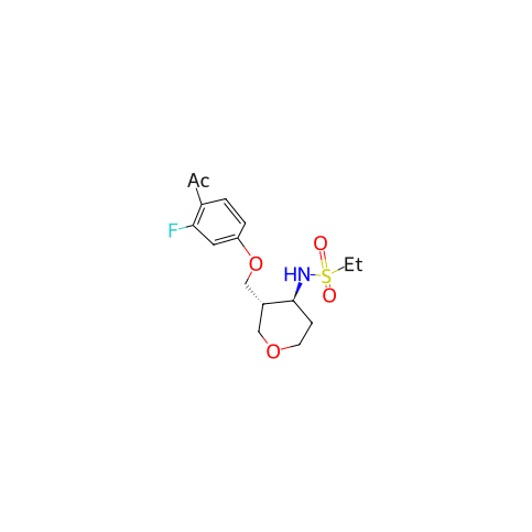 CCS(=O)(=O)N[C@H]1CCOC[C@@H]1COc1ccc(C(C)=O)c(F)c1